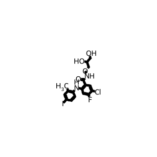 Cc1cc(I)ccc1Nc1cc(F)c(Cl)cc1C(=O)NOCC(O)CO